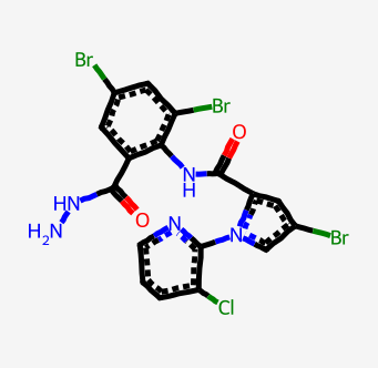 NNC(=O)c1cc(Br)cc(Br)c1NC(=O)c1cc(Br)cn1-c1ncccc1Cl